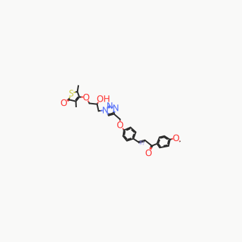 COc1ccc(C(=O)/C=C/c2ccc(OCc3cn(CC(O)COC4=C(C)C(=O)SC4C)nn3)cc2)cc1